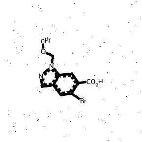 CCCOCn1ncc2cc(Br)c(C(=O)O)cc21